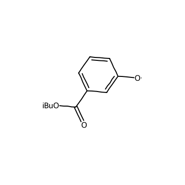 CC(C)COC(=O)c1cccc([O])c1